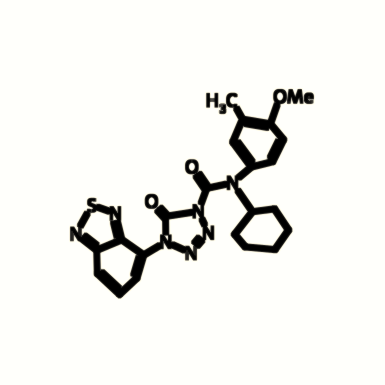 COc1ccc(N(C(=O)n2nnn(-c3cccc4nsnc34)c2=O)C2CCCCC2)cc1C